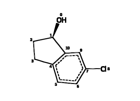 O[C@@H]1CCc2ccc(Cl)cc21